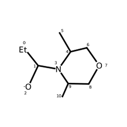 CCC([O])N1C(C)COCC1C